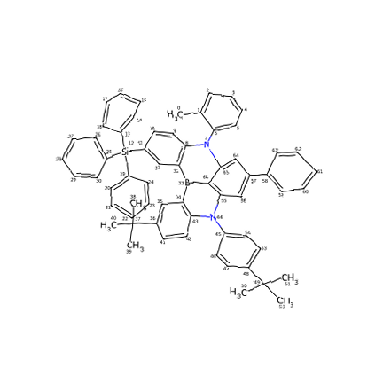 Cc1ccccc1N1c2ccc([Si](c3ccccc3)(c3ccccc3)c3ccccc3)cc2B2c3cc(C(C)(C)C)ccc3N(c3ccc(C(C)(C)C)cc3)c3cc(-c4ccccc4)cc1c32